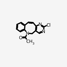 CC(=O)N1Cc2cnc(Cl)nc2/C=C\c2ccccc21